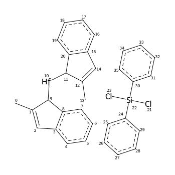 CC1=Cc2ccccc2[CH]1[Hf][CH]1C(C)=Cc2ccccc21.Cl[Si](Cl)(c1ccccc1)c1ccccc1